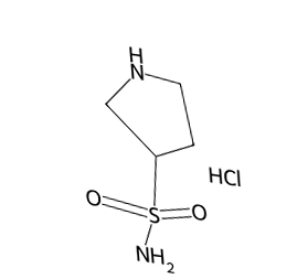 Cl.NS(=O)(=O)C1CCNC1